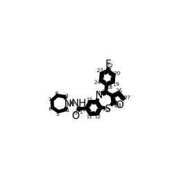 O=C(NN1CCCCCC1)c1ccc2c(c1)N=C(c1ccc(F)cc1)c1ccoc1S2